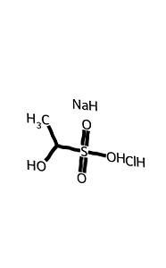 CC(O)S(=O)(=O)O.Cl.[NaH]